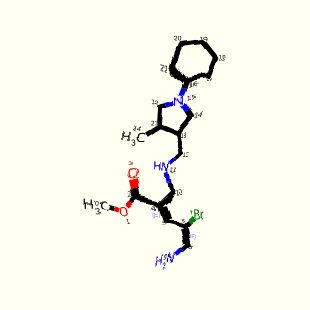 COC(=O)/C(=C/C(Br)=C\N)CNCC1CN(C2CCCCC2)CC1C